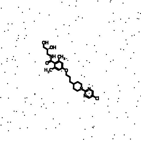 Cc1cc(OCCCC2CCN(c3ncc(Cl)cn3)CC2)cc(C)c1C(=O)NC[C@@H](O)CO